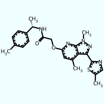 Cc1ccc([C@H](C)NC(=O)COc2cc(C)c3c(-c4ncc(C)s4)nn(C)c3n2)cc1